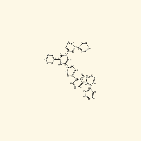 c1ccc(-c2cccc(-c3nc(-c4ccccc4)nc(-c4ccc(-c5cccc6c5oc5cccc(-c7ccccc7)c56)cc4)n3)c2)cc1